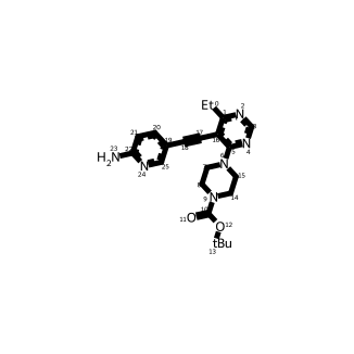 CCc1ncnc(N2CCN(C(=O)OC(C)(C)C)CC2)c1C#Cc1ccc(N)nc1